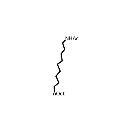 CCCCCCCCCCCCCCCC[CH]NC(C)=O